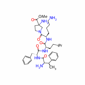 COC(=O)C1(N)CCN(C(=O)[C@@H](CCCCN)NC(=O)[C@@H](CCC(C)C)NC(=O)[C@@H](Cc2ccccc2)NC(=O)[C@H](N)[C@H](C)c2ccccc2)C1